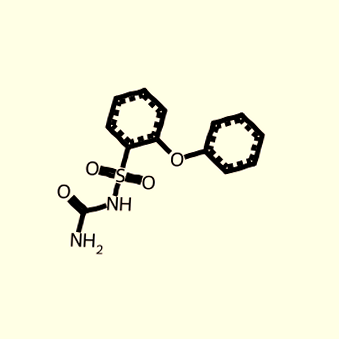 NC(=O)NS(=O)(=O)c1ccccc1Oc1ccccc1